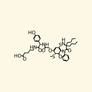 CCCCC1(CCCC)NSC2=C(C(=O)[C@@H](SC)C(OCC(=O)N[C@@H](C(=O)NCCCCC(=O)O)c3ccc(O)cc3)=C2)N(c2ccccc2)C1=O